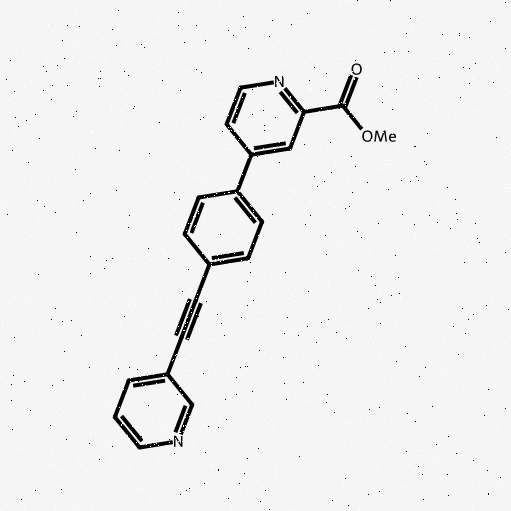 COC(=O)c1cc(-c2ccc(C#Cc3cccnc3)cc2)ccn1